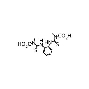 CN(C(=O)O)C(=S)Nc1ccccc1NC(=S)N(C)C(=O)O